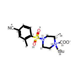 Cc1cc(C#N)ccc1S(=O)(=O)N1CC[N+](C(=O)[O-])(C(C)(C)C)[C@@H](C)C1